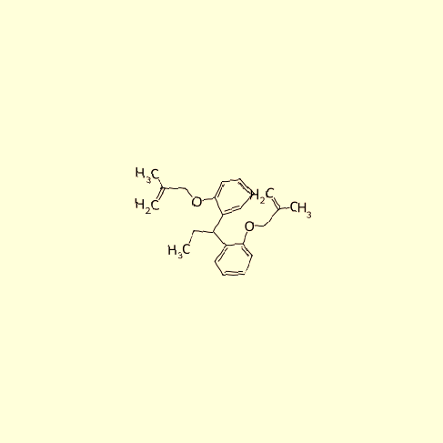 C=C(C)COc1ccccc1C(CC)c1ccccc1OCC(=C)C